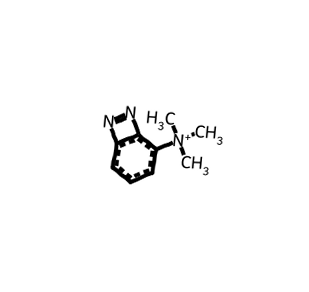 C[N+](C)(C)c1cccc2c1N=N2